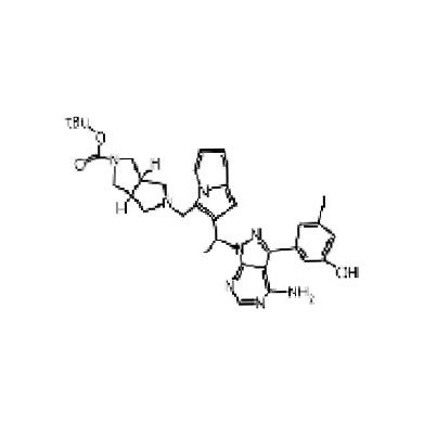 CC(c1cc2ccccn2c1CN1C[C@@H]2CN(C(=O)OC(C)(C)C)C[C@@H]2C1)n1nc(-c2cc(O)cc(I)c2)c2c(N)ncnc21